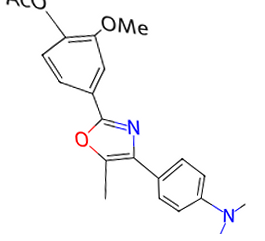 COc1cc(-c2nc(-c3ccc(N(C)C)cc3)c(C)o2)ccc1OC(C)=O